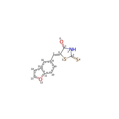 O=C1NC(=S)S/C1=C\c1ccc2occc2c1